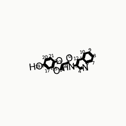 O=C(Nc1cnc2ccccc2c1)C1=COc2cc(O)ccc2O1